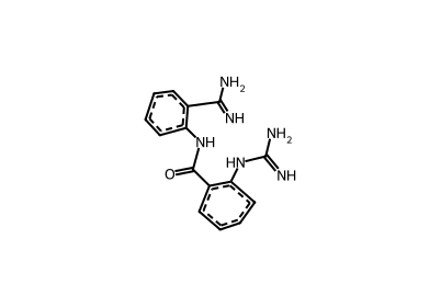 N=C(N)Nc1ccccc1C(=O)Nc1ccccc1C(=N)N